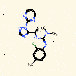 CC(NC(=Nc1ccc(C(F)(F)F)cc1Cl)N(C)C)c1ncnn1-c1ncccn1